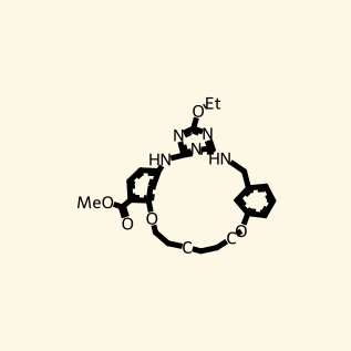 CCOc1nc2nc(n1)Nc1ccc(C(=O)OC)c(c1)OCCCCCCOc1cccc(c1)CN2